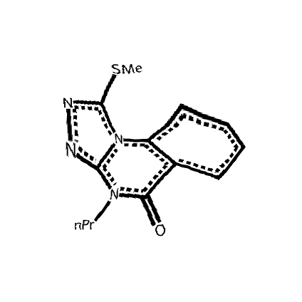 CCCn1c(=O)c2ccccc2n2c(SC)nnc12